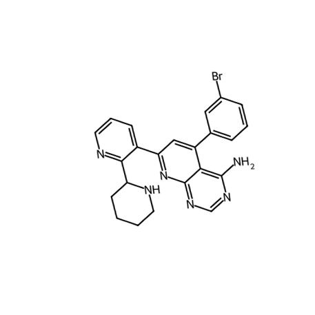 Nc1ncnc2nc(-c3cccnc3C3CCCCN3)cc(-c3cccc(Br)c3)c12